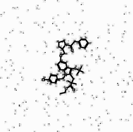 CCOC(=O)C(C)(C)Cc1c(SC(C)(C)C)c2cc(OCC3CCCN3C(=O)Cc3ccccc3)ccc2n1Cc1ccc(Cl)cc1